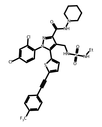 CCNS(=O)(=O)NCc1c(C(=O)NN2CCCCC2)nn(-c2ccc(Cl)cc2Cl)c1-c1ccc(C#Cc2ccc(C(F)(F)F)cc2)s1